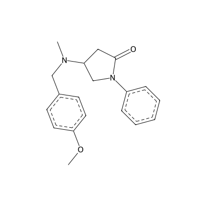 COc1ccc(CN(C)C2CC(=O)N(c3ccccc3)C2)cc1